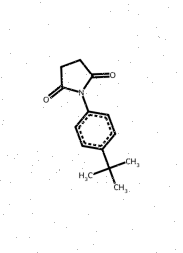 CC(C)(C)c1ccc(N2C(=O)CCC2=O)cc1